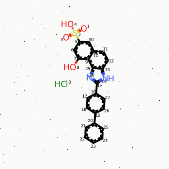 Cl.O=S(=O)(O)c1cc(O)c2c(ccc3[nH]c(-c4ccc(-c5ccccc5)cc4)nc32)c1